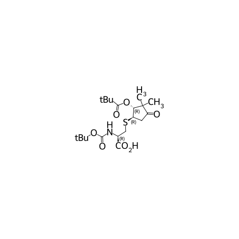 CC(C)(C)OC(=O)N[C@@H](CS[C@@H]1CC(=O)C(C)(C)[C@H]1OC(=O)C(C)(C)C)C(=O)O